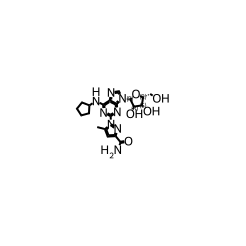 Cc1cc(C(N)=O)nn1-c1nc(NC2CCCC2)c2ncn([C@@H]3O[C@H](CO)[C@@H](O)[C@H]3O)c2n1